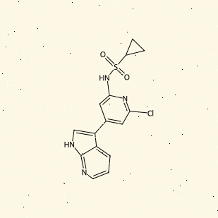 O=S(=O)(Nc1cc(-c2c[nH]c3ncccc23)cc(Cl)n1)C1CC1